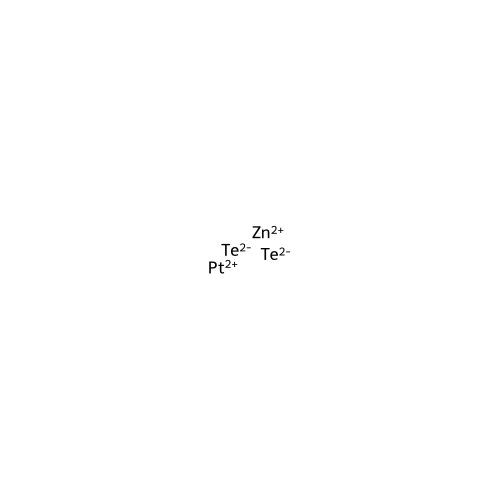 [Pt+2].[Te-2].[Te-2].[Zn+2]